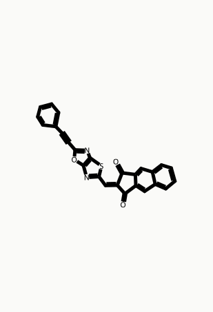 O=C1C(=Cc2nc3oc(C#Cc4ccccc4)nc3s2)C(=O)c2cc3ccccc3cc21